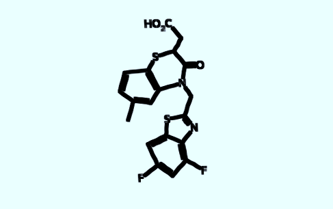 Cc1ccc2c(c1)N(Cc1nc3c(F)cc(F)cc3s1)C(=O)C(CC(=O)O)S2